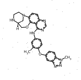 Cc1cc(Nc2ncnc3ccc4c(c23)OC[C@H]2CN4CCN2)ccc1Oc1ccc2c(c1)nnn2C